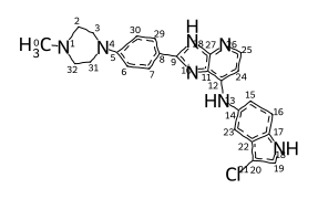 CN1CCN(c2ccc(-c3nc4c(Nc5ccc6[nH]cc(Cl)c6c5)ccnc4[nH]3)cc2)CC1